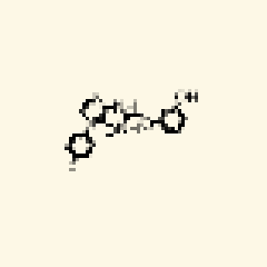 N=C(COc1cccc(O)c1)Nc1nccn(-c2ccc(F)cc2)c1=O